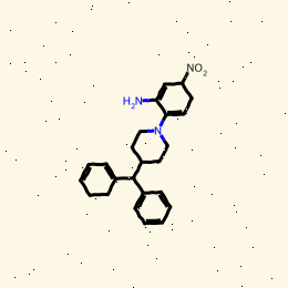 NC1=CC([N+](=O)[O-])CC=C1N1CCC(C(C2=CC=CCC2)c2ccccc2)CC1